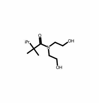 CC(C)C(C)(C)C(=O)N(CCO)CCO